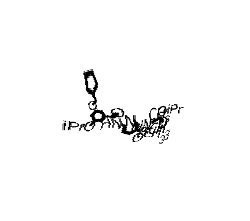 CC(C)OC(=O)C(C)(C)NP(C)(=O)c1ccc(NC(=O)c2cc(OCC3CCCC3)cc(OC(C)C)c2)nc1